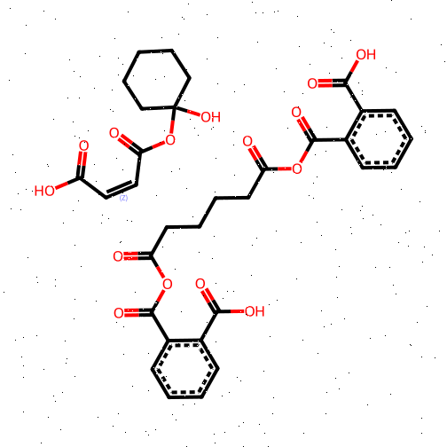 O=C(CCCCC(=O)OC(=O)c1ccccc1C(=O)O)OC(=O)c1ccccc1C(=O)O.O=C(O)/C=C\C(=O)OC1(O)CCCCC1